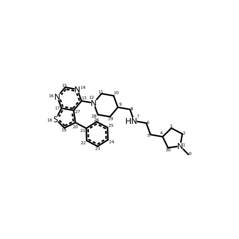 CN1CCC(CCNCC2CCN(c3ncnc4scc(-c5ccccc5)c34)CC2)C1